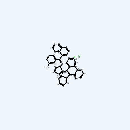 FC(F)(F)c1cccc([C](c2cccc3ccccc23)=[Zr+2]([c]2cccc3c2c2c(c4ccccc43)-c3ccccc3C2)[CH]2C=CC=C2)c1.[Cl-].[Cl-]